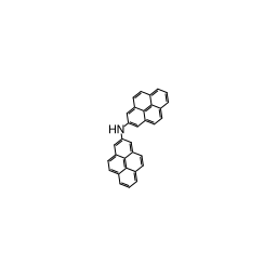 c1cc2ccc3cc(Nc4cc5ccc6cccc7ccc(c4)c5c67)cc4ccc(c1)c2c34